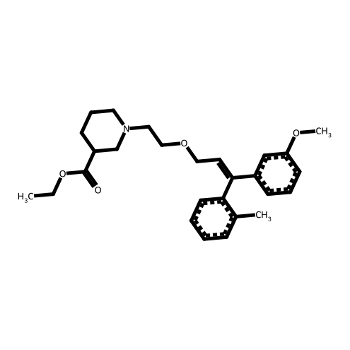 CCOC(=O)C1CCCN(CCOCC=C(c2cccc(OC)c2)c2ccccc2C)C1